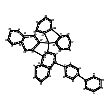 c1ccc(-c2ccc(-c3cc4c(c5ccccc35)-c3cc5ccccc5cc3C43c4ccccc4-c4ccccc43)cc2)nc1